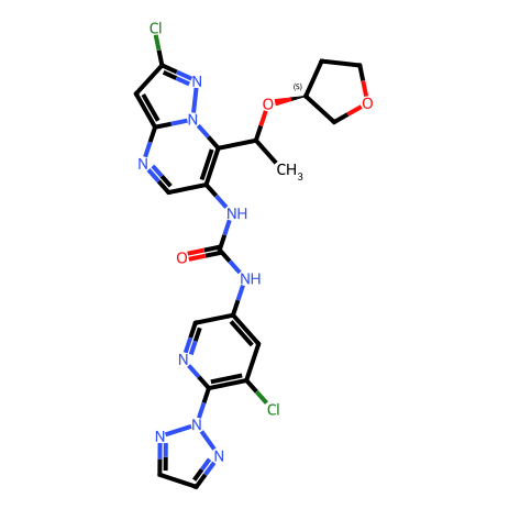 CC(O[C@H]1CCOC1)c1c(NC(=O)Nc2cnc(-n3nccn3)c(Cl)c2)cnc2cc(Cl)nn12